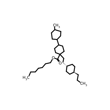 CCCCCCCOC(=O)C1(CC[C@H]2CC[C@H](CCC)CC2)CCC(C2CCC(C)CC2)CC1